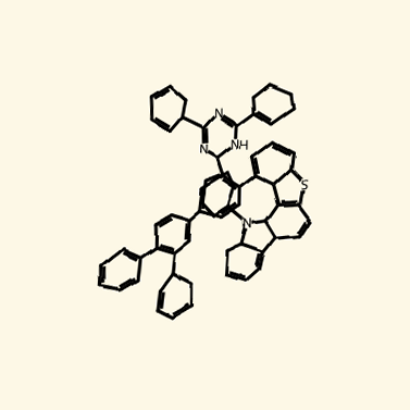 C1=CCC(C2=NC(c3cc(-c4ccc(-c5ccccc5)c(C5C=CC=CC5)c4)ccc3C3=CC=CC4SC5=C(C34)C3C(C=C5)C4=CC=CCC4N3C3CCCCC3)NC(C3=CCCCC3)=N2)C=C1